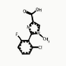 Cn1cc(C(=O)O)nc1-c1c(F)cccc1Cl